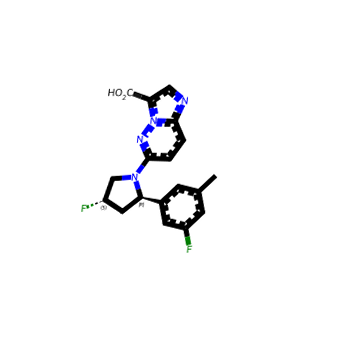 Cc1cc(F)cc([C@H]2C[C@H](F)CN2c2ccc3ncc(C(=O)O)n3n2)c1